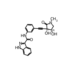 CN1C[C@@H](O)[C@@](O)(C#Cc2cccc(NC(=O)c3n[nH]c4ccccc34)c2)C1=O